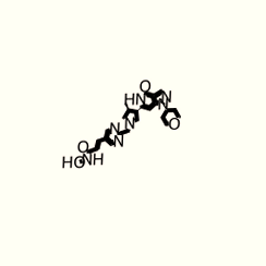 C[C@@H]1CN(Cc2ncc(/C=C/C(=O)NO)cn2)C[C@H]1c1cc2c(cnn2C2CCOCC2)c(=O)[nH]1